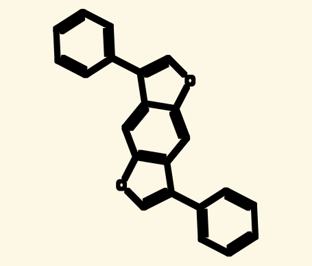 c1ccc(-c2coc3cc4c(-c5ccccc5)coc4cc23)cc1